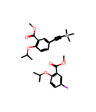 COC(=O)c1cc(C#C[Si](C)(C)C)ccc1OC(C)C.COC(=O)c1cc(I)ccc1OC(C)C